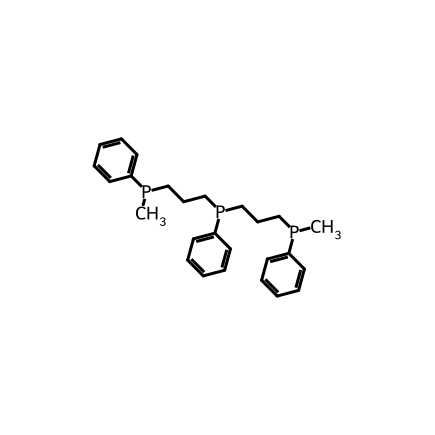 CP(CCCP(CCCP(C)c1ccccc1)c1ccccc1)c1ccccc1